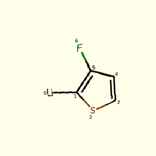 [Li][c]1sccc1F